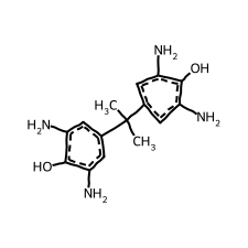 CC(C)(c1cc(N)c(O)c(N)c1)c1cc(N)c(O)c(N)c1